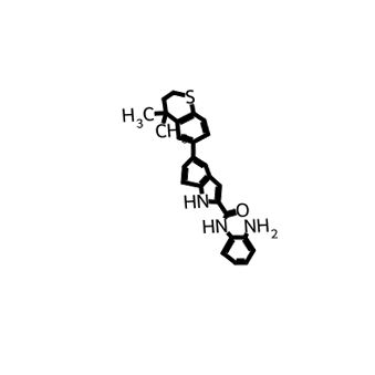 CC1(C)CCSc2ccc(-c3ccc4[nH]c(C(=O)Nc5ccccc5N)cc4c3)cc21